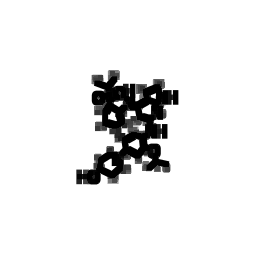 CC(C)Oc1cc(N2CCC(O)CC2)ccc1Nc1cc(Nc2ccccc2S(=O)(=O)C(C)C)c2cc[nH]c2n1